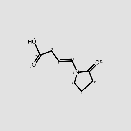 O=C(O)CC=CN1CCCC1=O